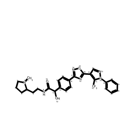 CN1CCCC1CCNC(=O)C(O)c1ccc(-c2noc(-c3cnn(-c4ccccc4)c3C(F)(F)F)n2)cc1